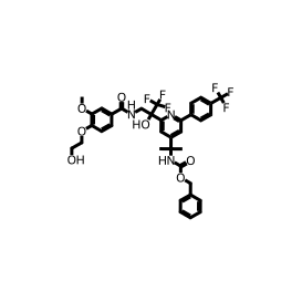 COc1cc(C(=O)NCC(O)(c2cc(C(C)(C)NC(=O)OCc3ccccc3)cc(-c3ccc(C(F)(F)F)cc3)n2)C(F)(F)F)ccc1OCCO